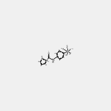 O=C(Nc1ccc(S(F)(F)(F)(F)F)cc1)n1cccn1